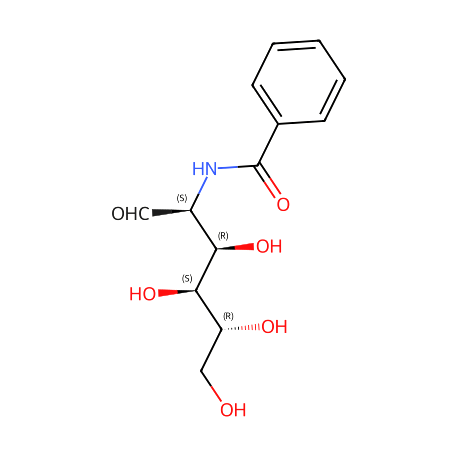 O=C[C@@H](NC(=O)c1ccccc1)[C@@H](O)[C@H](O)[C@H](O)CO